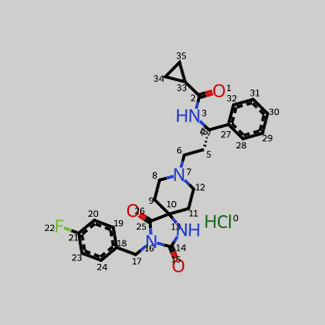 Cl.O=C(N[C@@H](CCN1CCC2(CC1)NC(=O)N(Cc1ccc(F)cc1)C2=O)c1ccccc1)C1CC1